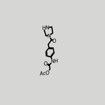 CC(=O)OCC(=O)Nc1ccc(CC(=O)N2CCNCC2)cc1